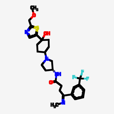 C/N=C(\CCC(=O)N[C@@H]1CCN(C2CCC(O)(c3cnc(COC)s3)CC2)C1)c1cccc(C(F)(F)F)c1